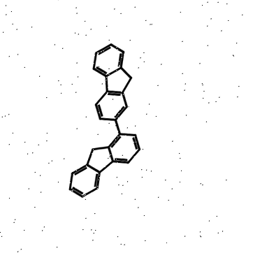 [c]1c(-c2cccc3c2Cc2ccccc2-3)ccc2c1Cc1ccccc1-2